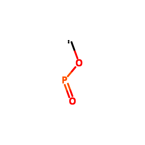 [CH]OP=O